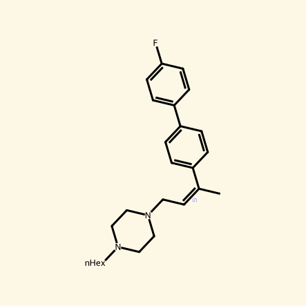 CCCCCCN1CCN(C/C=C(/C)c2ccc(-c3ccc(F)cc3)cc2)CC1